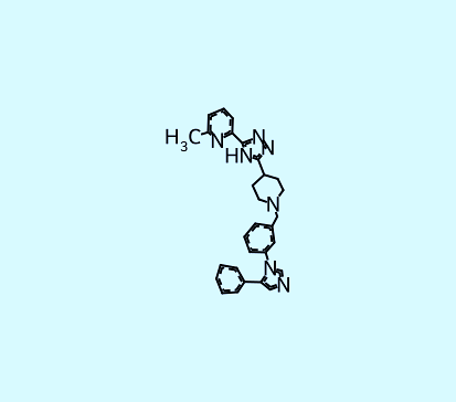 Cc1cccc(-c2nnc(C3CCN(Cc4cccc(-n5cncc5-c5ccccc5)c4)CC3)[nH]2)n1